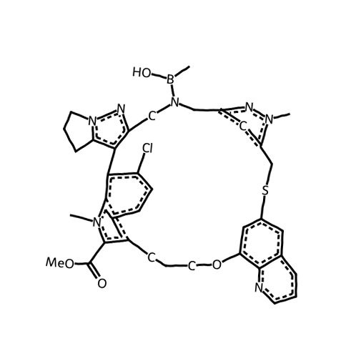 COC(=O)c1c2c3ccc(Cl)c(c3n1C)-c1c(nn3c1CCC3)CN(B(C)O)Cc1cc(n(C)n1)CSc1cc(c3ncccc3c1)OCCC2